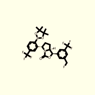 CC1(C)OB(c2ccc(C(F)(F)F)cc2[C@@H]2CC[C@H]3[C@@H](c4cc(CF)cc(C(F)(F)F)c4)OC(=O)N23)OC1(C)C